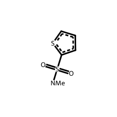 CNS(=O)(=O)c1cccs1